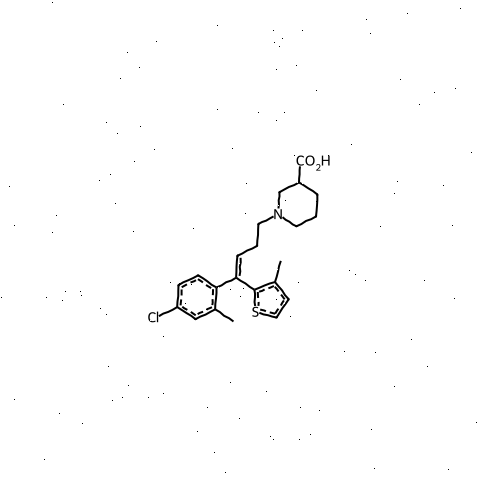 Cc1cc(Cl)ccc1/C(=C/CCN1CCCC(C(=O)O)C1)c1sccc1C